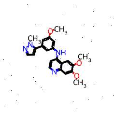 COc1cc(Nc2ccnc3cc(OC)c(OC)cc23)cc(-c2ccnn2C)c1